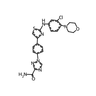 NC(=O)c1ncn(-c2ccc(-c3csc(Nc4ccc(N5CCOCC5)c(Cl)c4)n3)cc2)n1